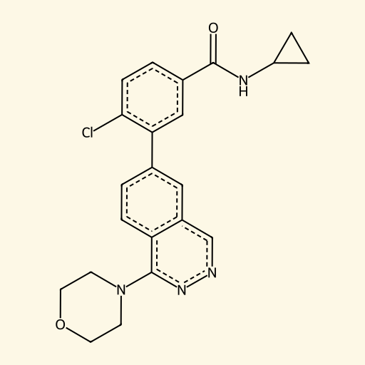 O=C(NC1CC1)c1ccc(Cl)c(-c2ccc3c(N4CCOCC4)nncc3c2)c1